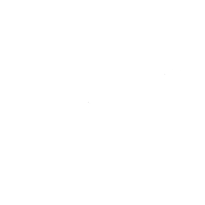 CC(C)(C(=O)O)c1ccc(C(=O)CCCN2CCC(OC(c3ccccc3)c3ccccc3)CC2)cc1